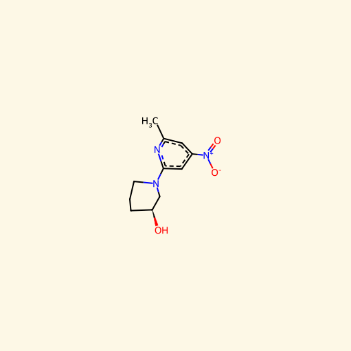 Cc1cc([N+](=O)[O-])cc(N2CCC[C@H](O)C2)n1